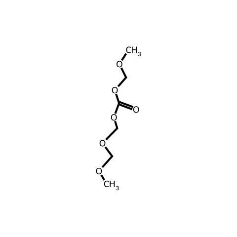 COCOCOC(=O)OCOC